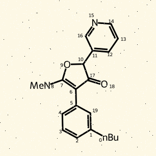 CCCCc1cccc(C2=C(NC)OC(c3cccnc3)C2=O)c1